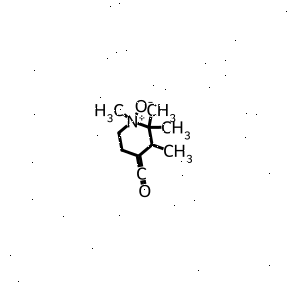 CC1C(=C=O)CC[N+](C)([O-])C1(C)C